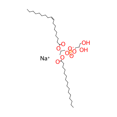 CCCCCCCC/C=C\CCCCCCCC(=O)OC(COC(=O)CCCCCCCCCCCCCCC)COP(=O)([O-])OCC(O)CO.[Na+]